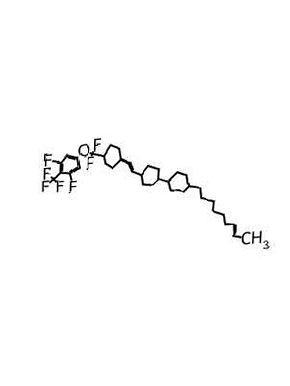 C/C=C/CCCCCCC1CCC(C2CCC(/C=C/C3CCC(C(F)(F)Oc4cc(F)c(C(F)(F)F)c(F)c4)CC3)CC2)CC1